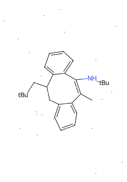 C/C1=C(\NC(C)(C)C)c2ccccc2C(CC(C)(C)C)Cc2ccccc21